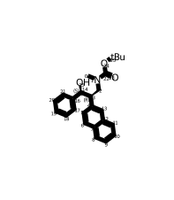 CN(C[C@@H](c1ccc2ccccc2c1)[C@H](O)c1ccccc1)C(=O)OC(C)(C)C